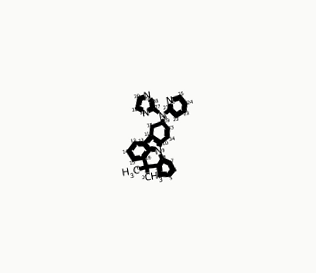 CC1(C)c2ccccc2-n2c3c(c4cccc1c42)CC(N(c1ccccn1)c1cnccn1)C=C3